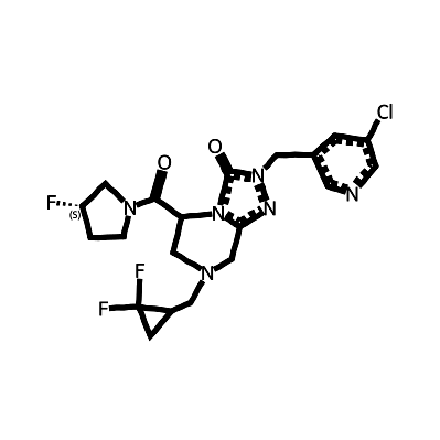 O=C(C1CN(CC2CC2(F)F)Cc2nn(Cc3cncc(Cl)c3)c(=O)n21)N1CC[C@H](F)C1